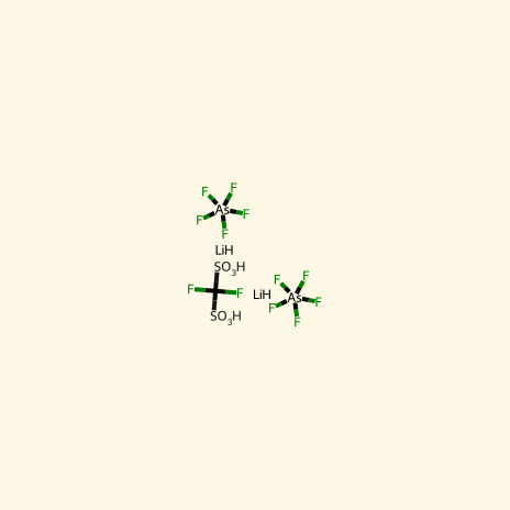 F[As](F)(F)(F)F.F[As](F)(F)(F)F.O=S(=O)(O)C(F)(F)S(=O)(=O)O.[LiH].[LiH]